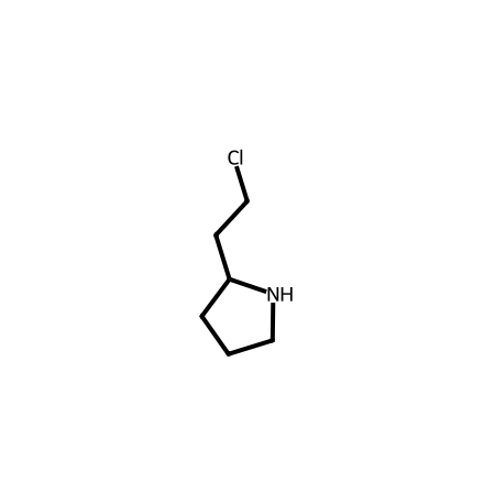 ClCCC1CCCN1